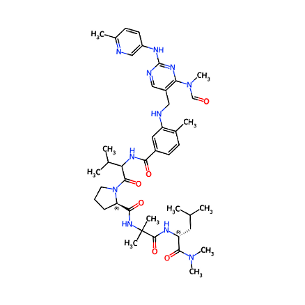 Cc1ccc(Nc2ncc(CNc3cc(C(=O)NC(C(=O)N4CCC[C@@H]4C(=O)NC(C)(C)C(=O)N[C@H](CC(C)C)C(=O)N(C)C)C(C)C)ccc3C)c(N(C)C=O)n2)cn1